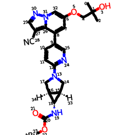 CC(C)(O)COc1cc(-c2ccc(N3C[C@@H]4[C@H](C3)[C@H]4NC(=O)OC(C)(C)C)nc2)c2c(C#N)cnn2c1